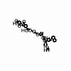 CN1C[C@H](OCCOCCOCC(O)c2ccc3c(c2)CN(C2CCC(=O)NC2=O)C3=O)C[C@H]1COc1nc2c(c(N3CCN[C@@H](CC#N)C3)n1)CCN(c1cccc3ccccc13)C2